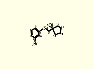 OC1(CSc2cccc(Br)c2)CCCC1